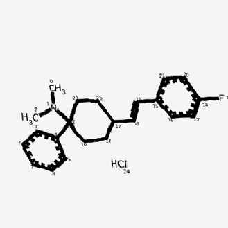 CN(C)C1(c2ccccc2)CCC(/C=C/c2ccc(F)cc2)CC1.Cl